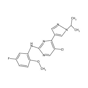 COc1c[c]c(F)cc1Nc1ncc(Cl)c(-c2cnn(C(C)C)c2)n1